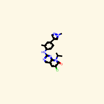 Cc1cc(-c2cnn(C)c2)ccc1Nc1ncc2cc(Cl)c(=O)n(C(C)C)c2n1